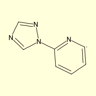 [c]1cccc(-n2cncn2)n1